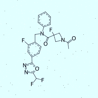 CC(=O)N1CC(F)(C(=O)N(Cc2ccc(-c3nnc(C(F)F)o3)cc2F)c2ccccc2)C1